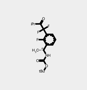 CC(C)C(=O)C(F)(F)c1cccc([C@@H](C)NC(=O)OC(C)(C)C)c1F